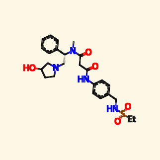 CCS(=O)(=O)NCc1ccc(NC(=O)CC(=O)N(C)[C@H](CN2CCC(O)C2)c2ccccc2)cc1